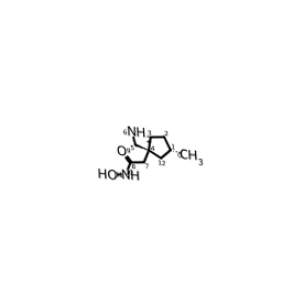 C[C@H]1CC[C@@](CN)(CC(=O)NO)C1